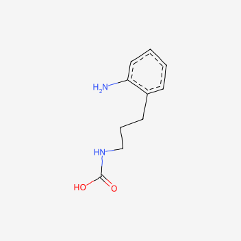 Nc1ccccc1CCCNC(=O)O